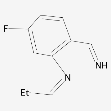 CC/C=N\c1cc(F)ccc1C=N